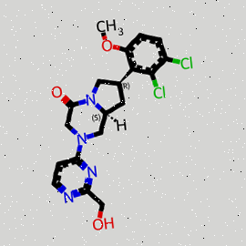 COc1ccc(Cl)c(Cl)c1[C@H]1C[C@H]2CN(c3ccnc(CO)n3)CC(=O)N2C1